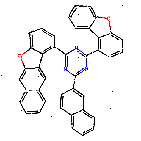 c1ccc2cc(-c3nc(-c4cccc5oc6ccccc6c45)nc(-c4cccc5oc6cc7ccccc7cc6c45)n3)ccc2c1